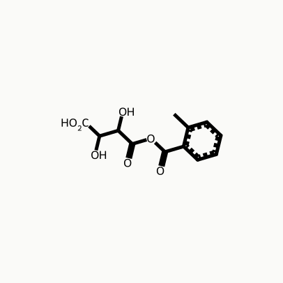 Cc1ccccc1C(=O)OC(=O)C(O)C(O)C(=O)O